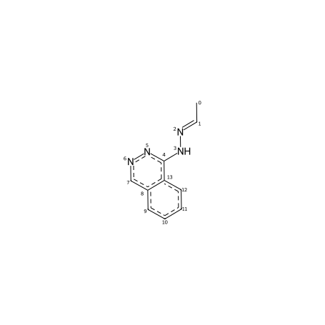 C/C=N/Nc1nncc2ccccc12